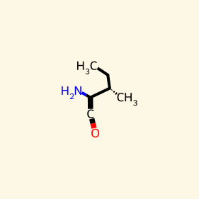 CC[C@H](C)C(N)=C=O